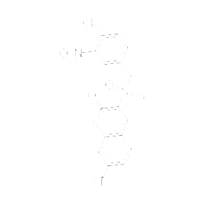 O=c1sc2cc(Cl)ccc2cc1S(=O)(=O)Cc1ccc(Cl)c([N+](=O)[O-])c1